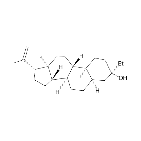 C=C(C)[C@H]1CC[C@H]2[C@@H]3CC[C@@H]4C[C@@](O)(CC)CC[C@]4(C)[C@H]3CC[C@]12C